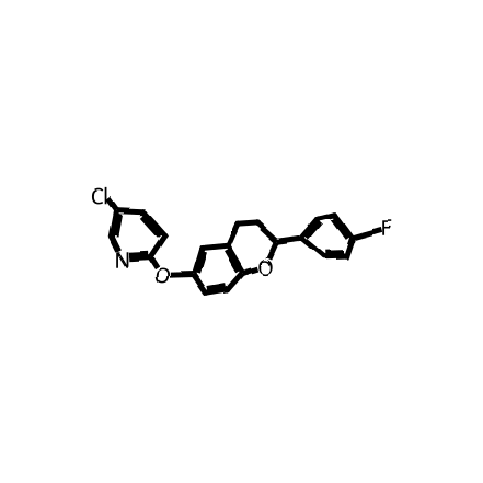 Fc1ccc(C2CCc3cc(Oc4ccc(Cl)cn4)ccc3O2)cc1